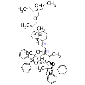 C=C1/C(=C/C=C2\CCC[C@]3(C)[C@@H](C(=C)COCC(O)(CCC)CCC)CC[C@@H]23)C[C@@H](O[Si](c2ccccc2)(c2ccccc2)C(C)(C)C)C[C@@H]1O[Si](c1ccccc1)(c1ccccc1)C(C)(C)C